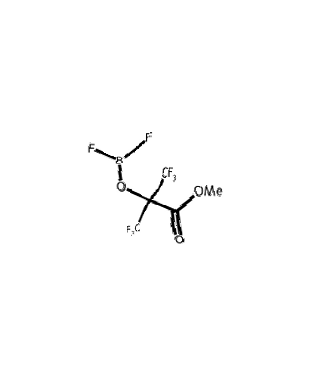 COC(=O)C(OB(F)F)(C(F)(F)F)C(F)(F)F